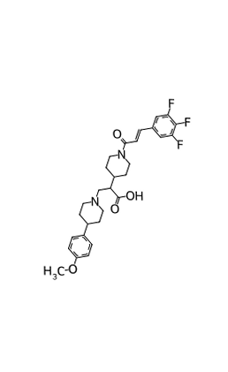 COc1ccc(C2CCN(CC(C(=O)O)C3CCN(C(=O)C=Cc4cc(F)c(F)c(F)c4)CC3)CC2)cc1